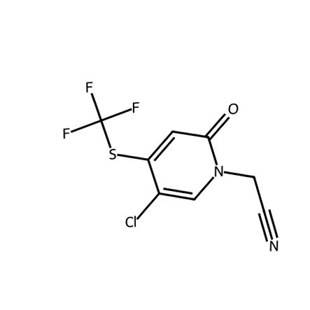 N#CCn1cc(Cl)c(SC(F)(F)F)cc1=O